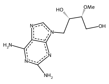 CO[C@H](CO)[C@@H](O)Cn1cnc2c(N)nc(N)nc21